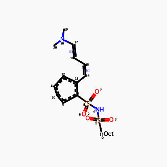 CCCCCCCCS(=O)(=O)NS(=O)(=O)c1ccccc1/C=C\C=C\N(C)C